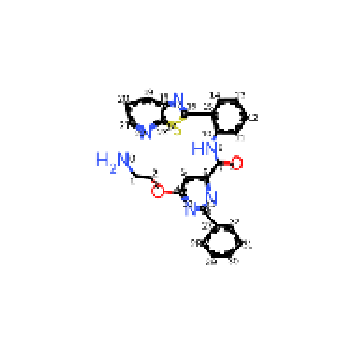 NCCOc1cc(C(=O)Nc2ccccc2-c2nc3cccnc3s2)nc(-c2ccccc2)n1